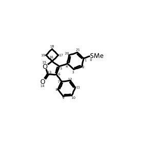 CSc1ccc(C2=C(c3ccccc3)C(=O)OC23CCC3)cc1